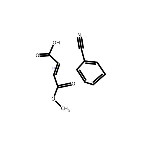 COC(=O)/C=C/C(=O)O.N#Cc1ccccc1